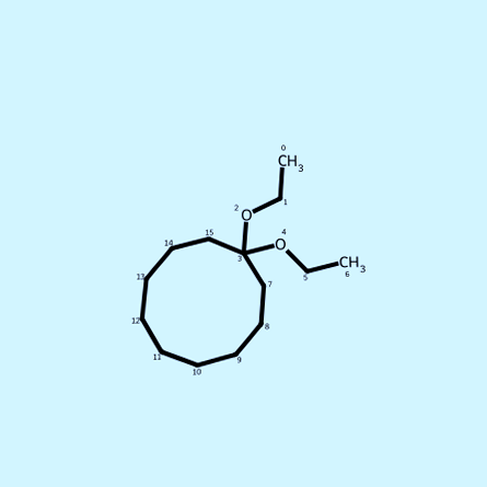 CCOC1(OCC)CCCCCCCCC1